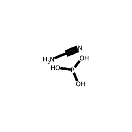 N#CN.OP(O)O